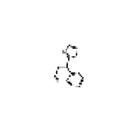 C1=Cc2ccccc2C(c2nccs2)C1